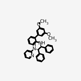 COc1cc(OC)cc(-c2ccccc2N[C@@H](c2ccccc2)[C@@H](Nc2ccccn2)c2ccccc2)c1